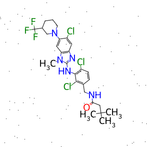 Cn1c(Nc2c(Cl)ccc(CNC(=O)CC(C)(C)C)c2Cl)nc2cc(Cl)c(N3CCCC(C(F)(F)F)C3)cc21